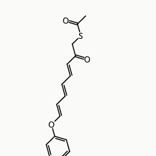 CC(=O)SCC(=O)C=CC=CC=COc1ccccc1